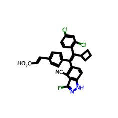 N#Cc1c(C(=C(c2ccc(Cl)cc2Cl)C2CCC2)c2ccc(C=CC(=O)O)cc2)ccc2[nH]nc(F)c12